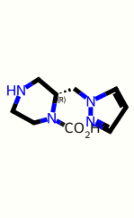 O=C(O)N1CCNC[C@@H]1Cn1cccn1